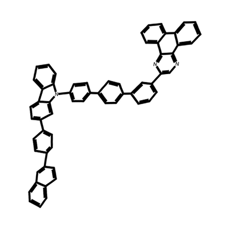 c1cc(-c2ccc(-c3ccc(-n4c5ccccc5c5ccc(-c6ccc(-c7ccc8ccccc8c7)cc6)cc54)cc3)cc2)cc(-c2cnc3c4ccccc4c4ccccc4c3n2)c1